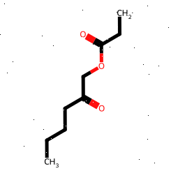 [CH2]CC(=O)OCC(=O)CCCC